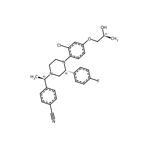 C[C@H](O)COc1ccc(N2CCN([C@H](C)c3ccc(C#N)cc3)C[C@H]2c2ccc(F)cc2)c(Cl)c1